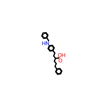 O=C(O)C(CCCc1ccccc1)CCc1ccc(NCc2ccccc2)cc1